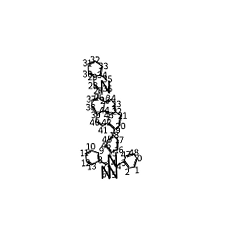 c1ccc(-c2nnc(-c3ccccc3)n2-c2ccc(-c3ccc4ccc5c(-c6cc7ccccc7cn6)ccc6ccc3c4c65)cc2)cc1